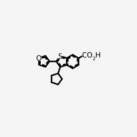 O=C(O)c1ccc2c(C3CCCC3)c(-c3ccoc3)sc2c1